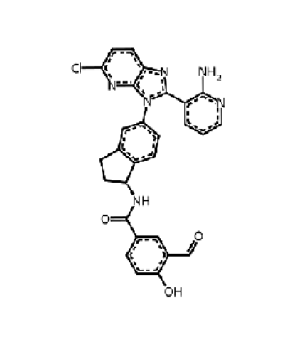 Nc1ncccc1-c1nc2ccc(Cl)nc2n1-c1ccc2c(c1)CC[C@@H]2NC(=O)c1ccc(O)c(C=O)c1